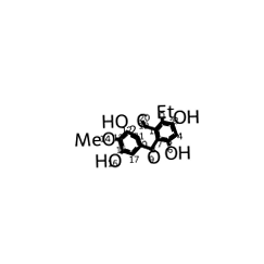 CCc1c(O)cc(O)c(C(=O)c2ccc(OC)c(O)c2)c1CC(=O)O